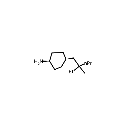 CCCC(C)(CC)C[C@H]1CC[C@@H](N)CC1